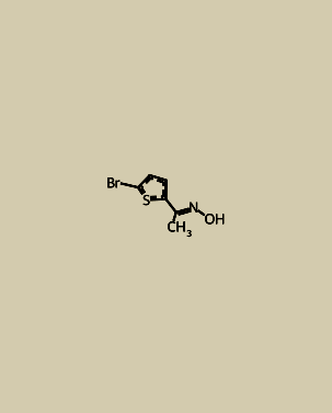 CC(=NO)c1ccc(Br)s1